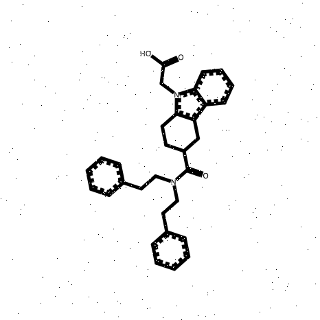 O=C(O)Cn1c2c(c3ccccc31)CC(C(=O)N(CCc1ccccc1)CCc1ccccc1)CC2